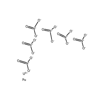 O=[N+]([O-])[O-].O=[N+]([O-])[O-].O=[N+]([O-])[O-].O=[N+]([O-])[O-].O=[N+]([O-])[O-].O=[N+]([O-])[O-].[Pu].[U+6]